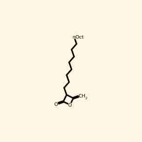 C=C1OC(=O)C1CCCCCCCCCCCCCCCC